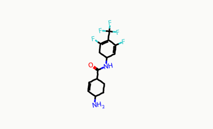 NC1C=CC(C(=O)NC2C=C(F)C(C(F)(F)F)=C(F)C2)CC1